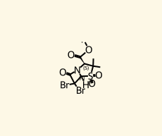 [CH2]OC(=O)[C@@H]1N2C(=O)C(Br)(Br)[C@H]2S(=O)(=O)C1(C)C